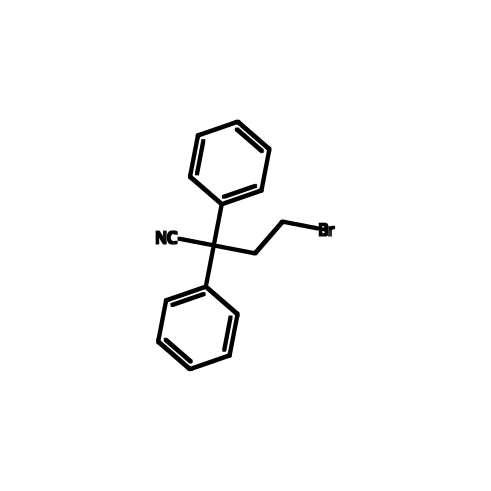 N#CC(CCBr)(c1ccccc1)c1ccccc1